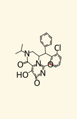 COc1nc(=O)c(O)c2n1C(C(c1ccccc1)c1ccccc1Cl)CN(C(C)C)C2=O